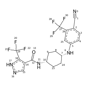 N#Cc1ccc(N[C@H]2CC[C@@H](NC(=O)c3cn[nH]c3C(F)(F)F)CC2)cc1C(F)(F)F